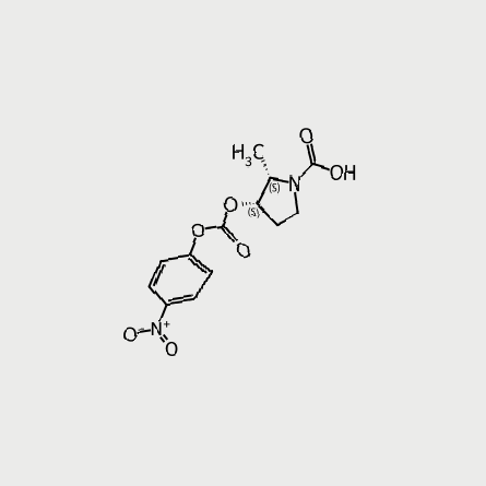 C[C@H]1[C@@H](OC(=O)Oc2ccc([N+](=O)[O-])cc2)CCN1C(=O)O